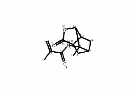 C=C(C)C(=O)NC1(C)C2CC3C(=O)OC1C3C2